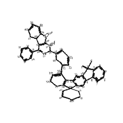 CC1(C)c2ccccc2-c2cc3c(cc21)C1=C(CCC=C1C1C=CC=C(C2N=C(c4ccccc4)C4=C(N2)OC2=CC=CCC24)C1)C31CCCCC1